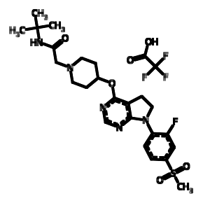 CC(C)(C)NC(=O)CN1CCC(Oc2ncnc3c2CCN3c2ccc(S(C)(=O)=O)cc2F)CC1.O=C(O)C(F)(F)F